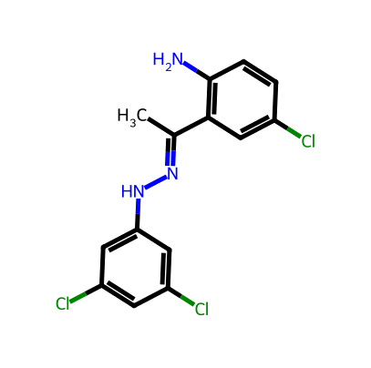 C/C(=N\Nc1cc(Cl)cc(Cl)c1)c1cc(Cl)ccc1N